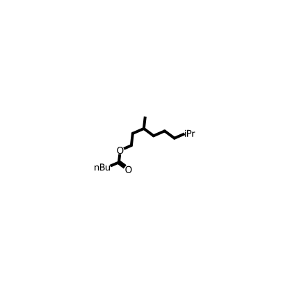 CCCCC(=O)OCCC(C)CCCC(C)C